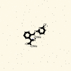 CO/N=C(/C(=O)OC)c1ccccc1COc1cccc(C(F)(F)F)n1